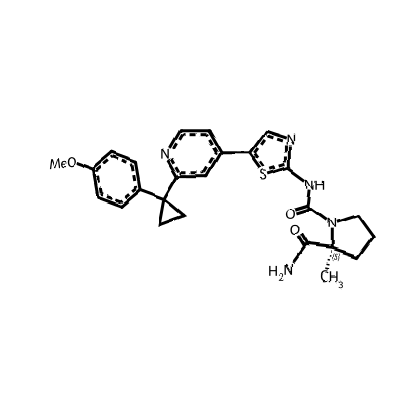 COc1ccc(C2(c3cc(-c4cnc(NC(=O)N5CCC[C@@]5(C)C(N)=O)s4)ccn3)CC2)cc1